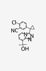 CC(C)(O)c1cccn2c(C3(c4ccc(Cl)c(C#N)c4)CC3)nnc12